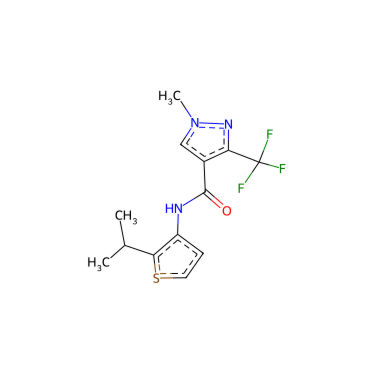 CC(C)c1sccc1NC(=O)c1cn(C)nc1C(F)(F)F